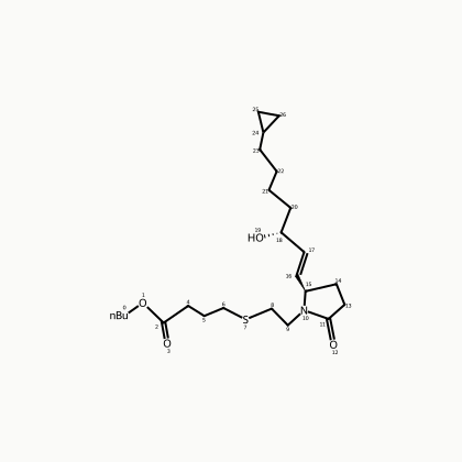 CCCCOC(=O)CCCSCCN1C(=O)CC[C@@H]1/C=C/[C@H](O)CCCCC1CC1